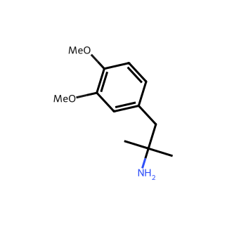 COc1ccc(CC(C)(C)N)cc1OC